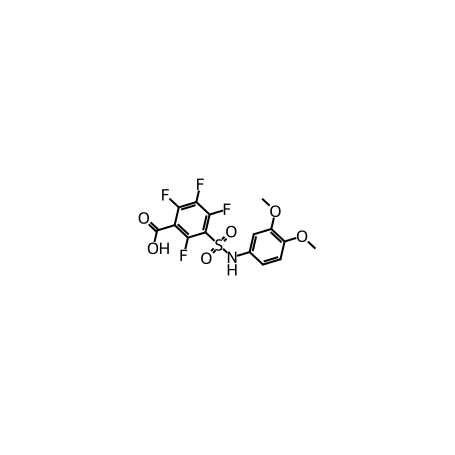 COc1ccc(NS(=O)(=O)c2c(F)c(F)c(F)c(C(=O)O)c2F)cc1OC